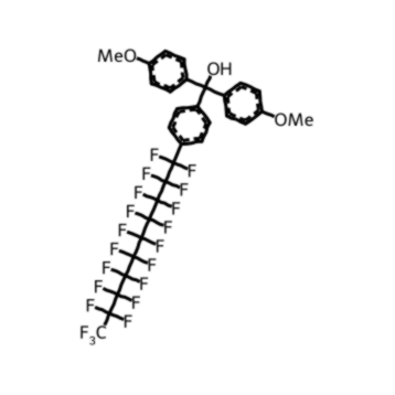 COc1ccc(C(O)(c2ccc(OC)cc2)c2ccc(C(F)(F)C(F)(F)C(F)(F)C(F)(F)C(F)(F)C(F)(F)C(F)(F)C(F)(F)C(F)(F)C(F)(F)F)cc2)cc1